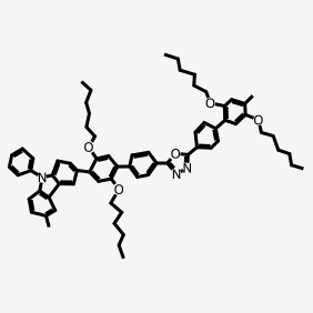 CCCCCCOc1cc(-c2ccc(-c3nnc(-c4ccc(-c5cc(OCCCCCC)c(-c6ccc7c(c6)c6cc(C)ccc6n7-c6ccccc6)cc5OCCCCCC)cc4)o3)cc2)c(OCCCCCC)cc1C